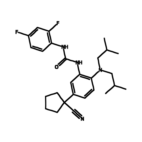 CC(C)CN(CC(C)C)c1ccc(C2(C#N)CCCC2)cc1NC(=O)Nc1ccc(F)cc1F